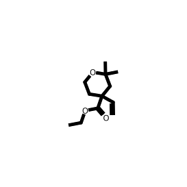 C=CC1(C(=O)OCC)CCOC(C)(C)C1